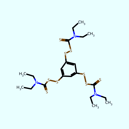 CCN(CC)C(=S)SSc1cc(SSC(=S)N(CC)CC)cc(SSC(=S)N(CC)CC)c1